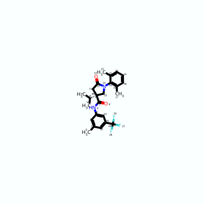 Cc1cc(NC(=O)[C@@]2(C(C)C)CC(=O)N(c3c(C)cccc3C)C2)cc(C(F)(F)F)c1